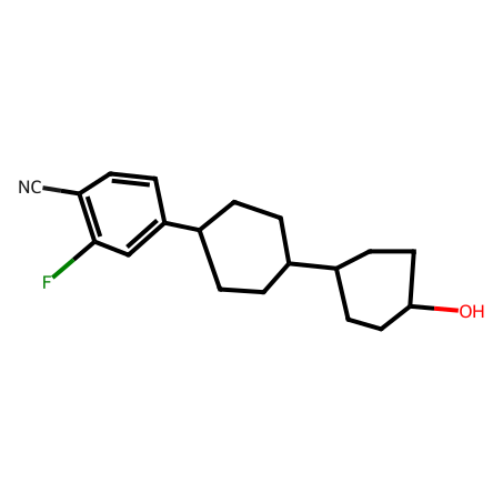 N#Cc1ccc(C2CCC(C3CCC(O)CC3)CC2)cc1F